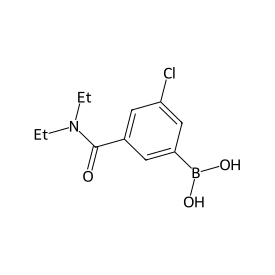 CCN(CC)C(=O)c1cc(Cl)cc(B(O)O)c1